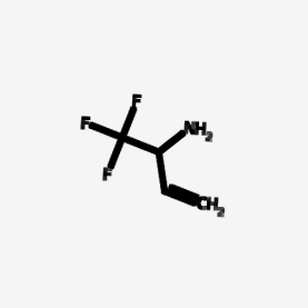 C=CC(N)C(F)(F)F